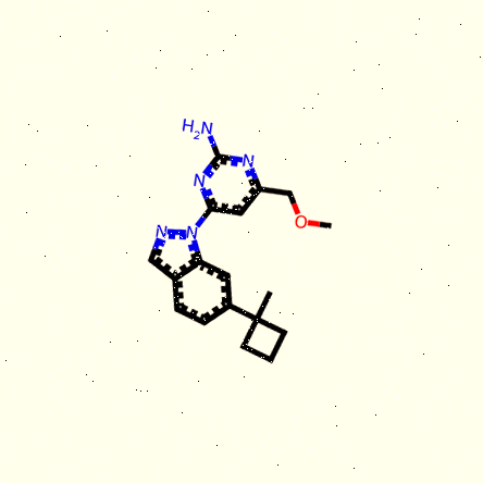 COCc1cc(-n2ncc3ccc(C4(C)CCC4)cc32)nc(N)n1